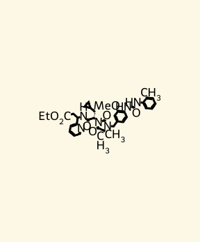 CCOC(=O)CC(NC(=O)[C@H](CC1CC1)N1C(=O)N(Cc2ccc(NC(=O)Nc3ccccc3C)c(OC)c2)C(C)(C)C1=O)c1ccccn1